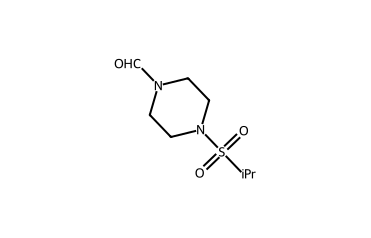 CC(C)S(=O)(=O)N1CCN(C=O)CC1